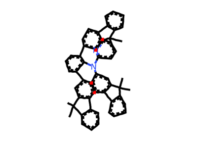 CC1(C)c2ccccc2-c2ccc(-c3cccc(-c4ccc5c(c4)C(C)(C)c4ccccc4-5)c3N(c3ccc4c(c3)C(C)(C)c3ccccc3-4)c3ccccn3)cc21